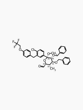 CO[C@@]1(c2ccc(Cl)c(Cc3ccc(OCC(F)(F)F)cc3)c2)O[C@H](C=O)[C@@H](C)[C@H](OCc2ccccc2)[C@H]1OCc1ccccc1